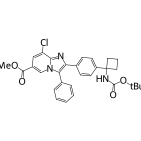 COC(=O)c1cc(Cl)c2nc(-c3ccc(C4(NC(=O)OC(C)(C)C)CCC4)cc3)c(-c3ccccc3)n2c1